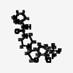 O=C(Nc1cccnn1)N1CCN(C2CCOc3c2ccc(C(F)(F)F)c3Cl)CC1